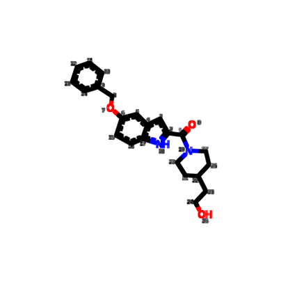 O=C(c1cc2cc(OCc3ccccc3)ccc2[nH]1)N1CCC(CCO)CC1